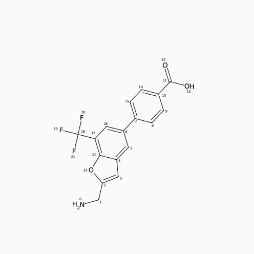 NCc1cc2cc(-c3ccc(C(=O)O)cc3)cc(C(F)(F)F)c2o1